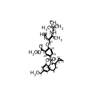 CCc1ccc2c(c1)CCC(C1CC1)N2S(=O)(=O)c1ccc(OC/C(N=N)=C(\C)NC[Si](C)(C)C)c(C(=O)OC)c1